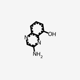 Nc1cnc2cccc(O)c2n1